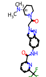 CN(C)[C@@H]1CCCN(C(=O)Cn2cc3cc(NC(=O)c4cccc(C(F)(F)F)n4)ccc3n2)C1